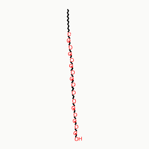 CCCCCCCCCCCCCOCCOCCOCCOCCOCCOCCOCCOCCOCCCOCCCOCCOCCOCCOCCOCCOCCO